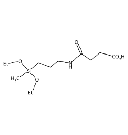 CCO[Si](C)(CCCNC(=O)CCC(=O)O)OCC